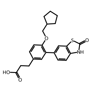 O=C(O)CCc1ccc(OCC2CCCC2)c(-c2ccc3[nH]c(=O)sc3c2)c1